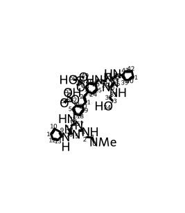 CNCCNc1nc(Nc2ccccc2)nc(Nc2ccc(/C=C/c3ccc(Nc4nc(NCCO)nc(Nc5ccccc5)n4)cc3OS(=O)O)c(OS(=O)O)c2)n1